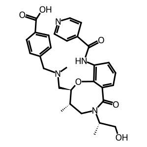 C[C@H]1CN([C@@H](C)CO)C(=O)c2cccc(NC(=O)c3ccncc3)c2O[C@@H]1CN(C)Cc1ccc(C(=O)O)cc1